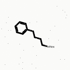 CCCCCCCCCCc1c[c]ccc1